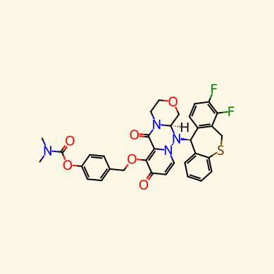 CN(C)C(=O)Oc1ccc(COc2c3n(ccc2=O)N([C@@H]2c4ccccc4SCc4c2ccc(F)c4F)[C@@H]2COCCN2C3=O)cc1